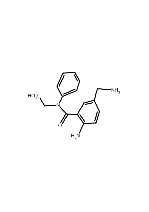 NCc1ccc(N)c(C(=O)N(CC(=O)O)c2ccccc2)c1